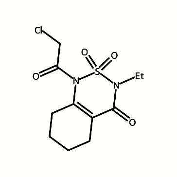 CCN1C(=O)C2=C(CCCC2)N(C(=O)CCl)S1(=O)=O